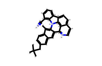 Cc1c2ccc(CC(C)(C)C)cc2cc2c3nccc4ccc5c6cccc(C#N)c6n(c12)c5c43